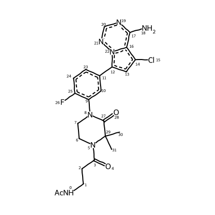 CC(=O)NCCC(=O)N1CCN(c2cc(-c3cc(Cl)c4c(N)ncnn34)ccc2F)C(=O)C1(C)C